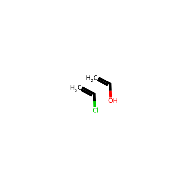 C=CCl.C=CO